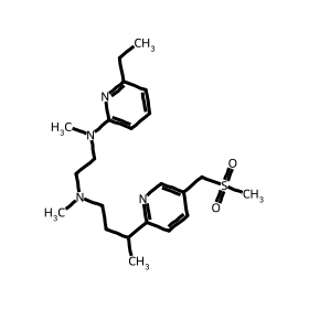 CCc1cccc(N(C)CCN(C)CCC(C)c2ccc(CS(C)(=O)=O)cn2)n1